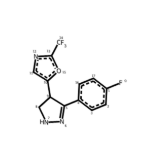 Fc1ccc(C2=NNCC2c2cnc(C(F)(F)F)o2)cc1